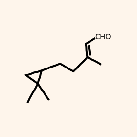 CC(=CC=O)CCC1CC1(C)C